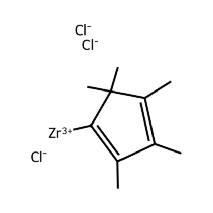 CC1=C(C)C(C)(C)[C]([Zr+3])=C1C.[Cl-].[Cl-].[Cl-]